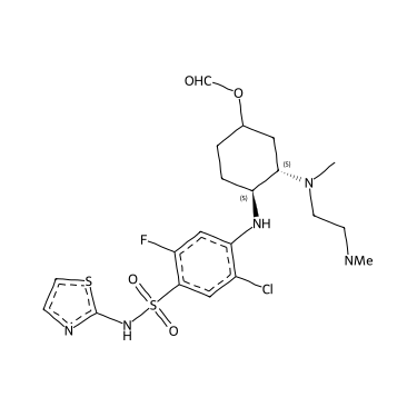 CNCCN(C)[C@H]1CC(OC=O)CC[C@@H]1Nc1cc(F)c(S(=O)(=O)Nc2nccs2)cc1Cl